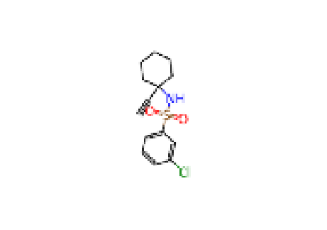 C#CC1(NS(=O)(=O)c2cccc(Cl)c2)CCCCC1